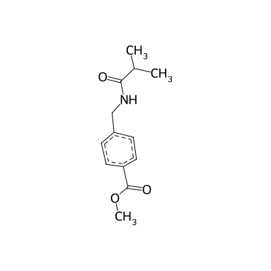 COC(=O)c1ccc(CNC(=O)C(C)C)cc1